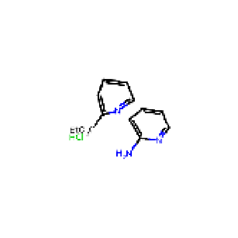 CCOC(=O)c1ccccn1.Cl.Nc1ccccn1